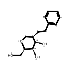 OC[C@H]1OC[C@@H](CCc2ccccc2)[C@@H](O)[C@H]1O